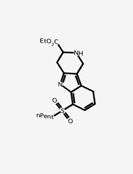 CCCCCS(=O)(=O)C1=C2N=C3CC(C(=O)OCC)NCC3=C2CC=C1